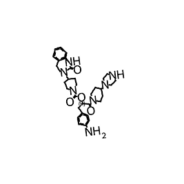 Nc1ccc(C[C@@H](OC(=O)N2CCC(N3CCc4ccccc4NC3=O)CC2)C(=O)N2CCC(N3CCNCC3)CC2)cc1